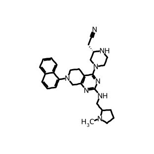 CN1CCCC1CNc1nc2c(c(N3CCN[C@@H](CC#N)C3)n1)CCN(c1cccc3ccccc13)C2